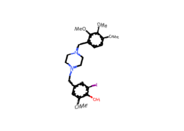 COc1cc(CN2CCN(Cc3ccc(OC)c(OC)c3OC)CC2)cc(I)c1O